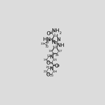 NC(=O)c1cnc(Nc2ccc(N3CCOC(C(=O)N4CCOCC4)C3)cc2)nc1NC1CC1